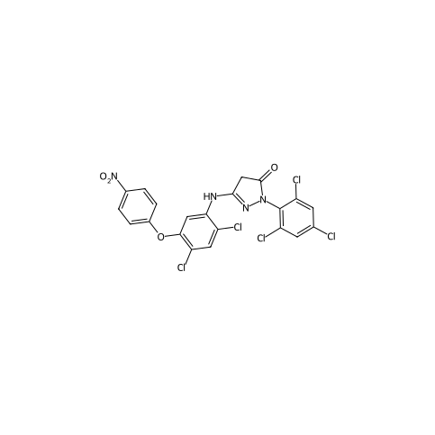 O=C1CC(Nc2cc(Oc3ccc([N+](=O)[O-])cc3)c(Cl)cc2Cl)=NN1c1c(Cl)cc(Cl)cc1Cl